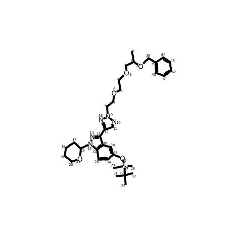 CC(COCCOCCn1ncc(-c2nn(C3CCCCO3)c3ccc(O[Si](C)(C)C(C)(C)C)cc23)n1)OCc1ccccc1